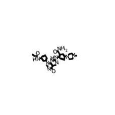 C=CC(=O)Nc1cccc(-n2cnc(=O)c3cnc(Nc4ccc(N5CCN(C)CC5)cc4C(N)=O)nc32)c1